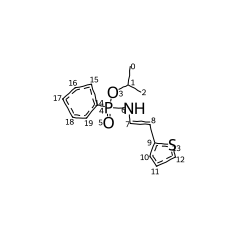 CC(C)OP(=O)(NC=Cc1cccs1)c1ccccc1